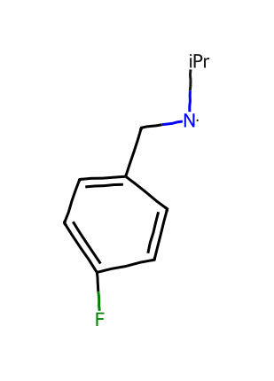 CC(C)[N]Cc1ccc(F)cc1